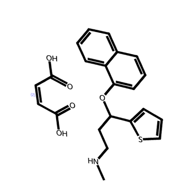 CNCCC(Oc1cccc2ccccc12)c1cccs1.O=C(O)/C=C\C(=O)O